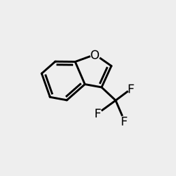 FC(F)(F)c1coc2ccccc12